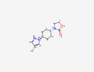 O=C1OCCN1[C@H]1CC[C@H](n2cc(I)cn2)CC1